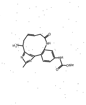 COC(=O)Nc1ccc2c(c1)NC(=O)C/C=C/CC(N)c1cc-2nc(C)n1